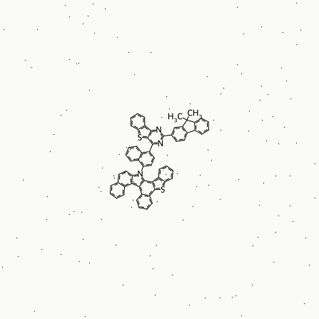 CC1(C)c2ccccc2-c2ccc(-c3nc(-c4ccc(-n5c6ccc7ccccc7c6c6c7ccccc7c7sc8ccccc8c7c65)c5ccccc45)c4sc5ccccc5c4n3)cc21